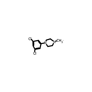 [CH2]N1CCN(c2cc(Cl)cc(Cl)c2)CC1